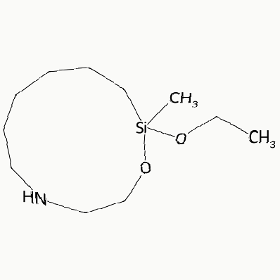 CCO[Si]1(C)CCCCCCNCCO1